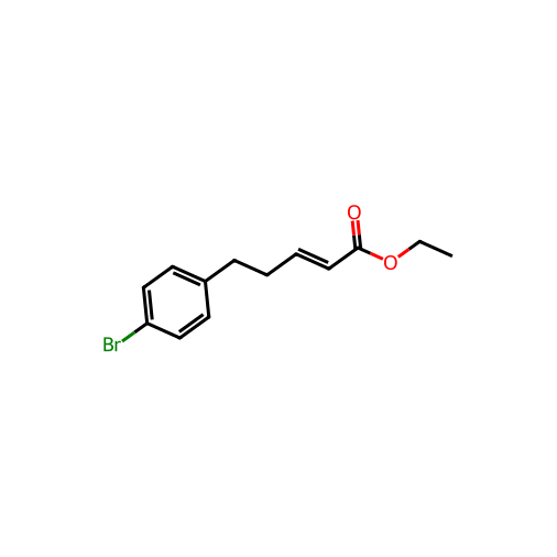 CCOC(=O)/C=C/CCc1ccc(Br)cc1